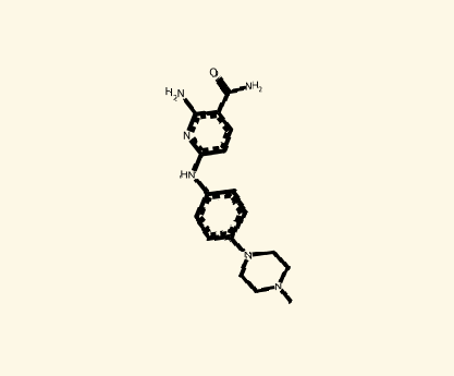 CN1CCN(c2ccc(Nc3ccc(C(N)=O)c(N)n3)cc2)CC1